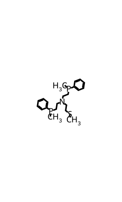 CSCCN(CCP(C)c1ccccc1)CCP(C)c1ccccc1